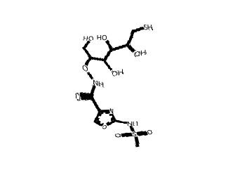 CS(=O)(=O)Nc1nc(C(=O)NOC(CO)C(O)C(O)C(O)CS)co1